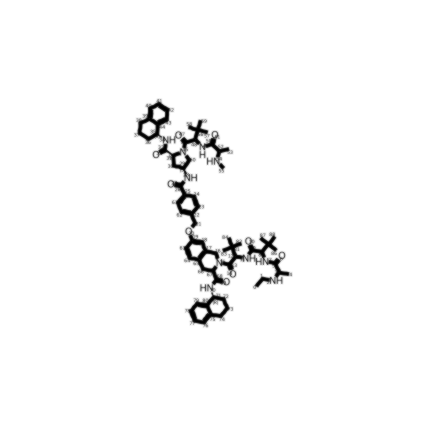 CCNC(C)C(=O)NC(C(=O)NC(C(=O)N1Cc2cc(OCc3ccc(C(=O)N[C@H]4C[C@@H](C(=O)N[C@@H]5CCCc6ccccc65)N(C(=O)C(NC(=O)C(C)NC)C(C)(C)C)C4)cc3)ccc2CC1C(=O)N[C@@H]1CCCc2ccccc21)C(C)(C)C)C(C)(C)C